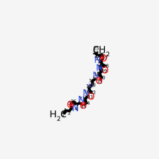 C=CCc1nc(-c2nc(-c3nc(/C=C/Cc4nc(-c5nc(-c6nc(C=C)co6)co5)co4)co3)co2)co1